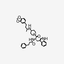 CC(CCc1ccc2c(c1)OCO2)NC1CCN(C(=O)[C@@H](Cc2c[nH]c3ccccc23)NC(=O)CCc2ccccc2)CC1